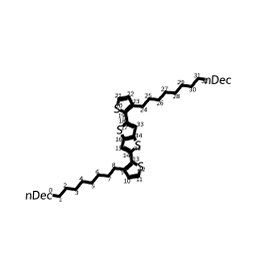 CCCCCCCCCCCCCCCCCCc1ccsc1-c1cc2sc(-c3sccc3CCCCCCCCCCCCCCCCCC)cc2s1